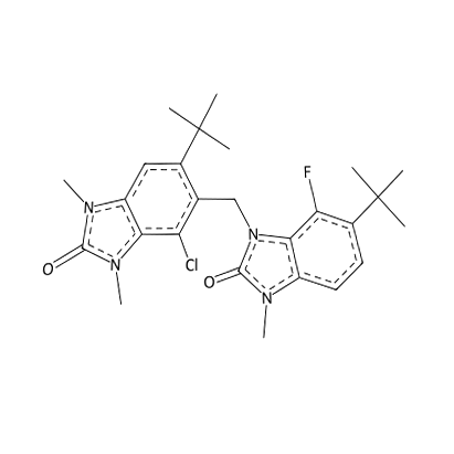 Cn1c(=O)n(C)c2c(Cl)c(Cn3c(=O)n(C)c4ccc(C(C)(C)C)c(F)c43)c(C(C)(C)C)cc21